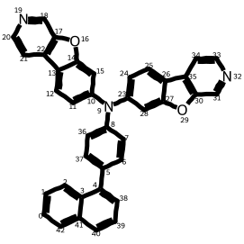 c1ccc2c(-c3ccc(N(c4ccc5c(c4)oc4cnccc45)c4ccc5c(c4)oc4cnccc45)cc3)cccc2c1